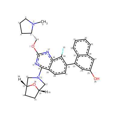 CN1CCC[C@H]1COc1nc(N2C[C@H]3CC[C@@H](C2)O3)c2ccc(-c3cc(O)cc4ccccc34)c(F)c2n1